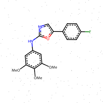 COc1cc(Nc2ncc(-c3ccc(F)cc3)o2)cc(OC)c1OC